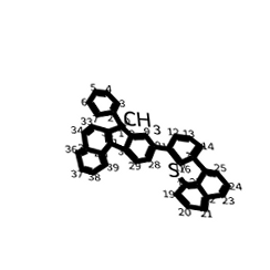 CC1(c2ccccc2)c2cc(-c3cccc4c3Sc3cccc5cccc-4c35)ccc2-c2c1ccc1ccccc21